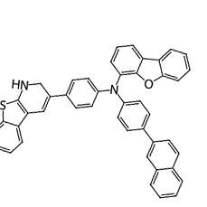 C1=C(c2ccc(N(c3ccc(-c4ccc5ccccc5c4)cc3)c3cccc4c3oc3ccccc34)cc2)CNc2sc3ccccc3c21